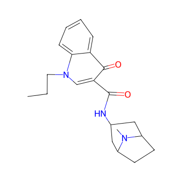 CCCn1cc(C(=O)NC2CC3CCC(C2)N3C)c(=O)c2ccccc21